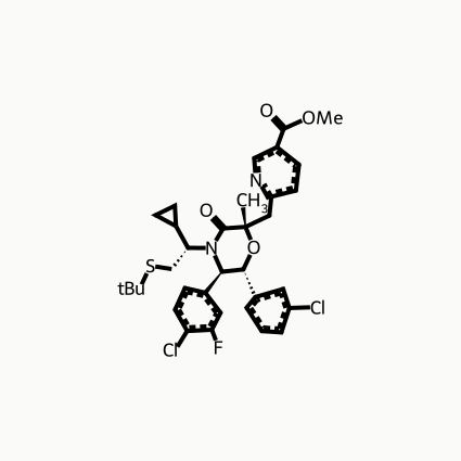 COC(=O)c1ccc(C[C@]2(C)O[C@H](c3cccc(Cl)c3)[C@@H](c3ccc(Cl)c(F)c3)N([C@H](CSC(C)(C)C)C3CC3)C2=O)nc1